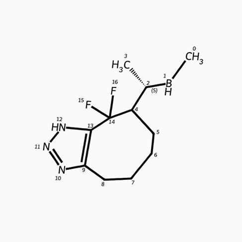 CB[C@@H](C)C1CCCCc2nn[nH]c2C1(F)F